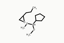 CCCC1CO1.CO[SiH](OC)C1CCCC1